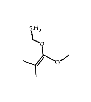 COC(OC[SiH3])=C(C)C